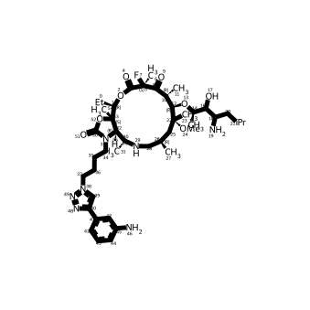 CC[C@H]1OC(=O)[C@@](C)(F)C(=O)[C@H](C)[C@@H](O[C@H](C)C(O)C(N)CC(C)C)[C@](C)(OC)C[C@@H](C)CN[C@H](C)[C@H]2N(CCCCn3cc(-c4cccc(N)c4)nn3)C(=O)O[C@]12C